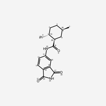 CC(C)[C@@H]1CC[C@@H](C)C[C@H]1C(=O)Nc1ccc2c(c1)C(=O)NC2=O